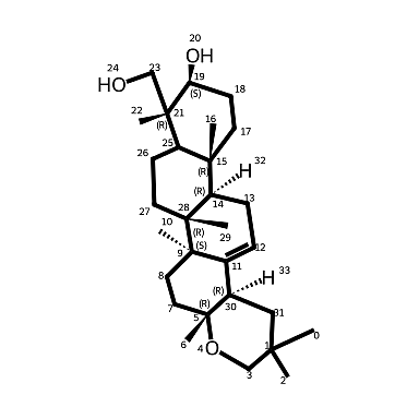 CC1(C)CO[C@]2(C)CC[C@]3(C)C(=CC[C@@H]4[C@@]5(C)CC[C@H](O)[C@@](C)(CO)C5CC[C@]43C)[C@H]2C1